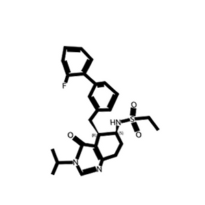 CCS(=O)(=O)N[C@H]1CCc2ncn(C(C)C)c(=O)c2[C@H]1Cc1cccc(-c2ccccc2F)c1